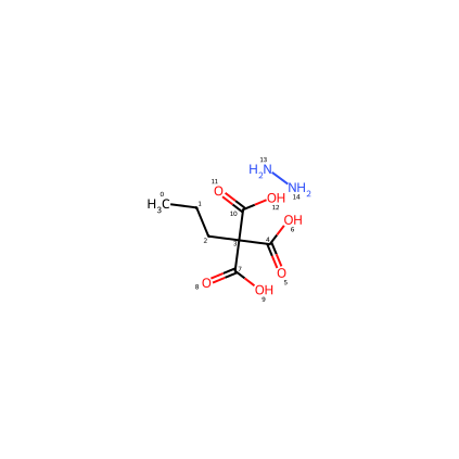 CCCC(C(=O)O)(C(=O)O)C(=O)O.NN